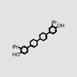 CC(C)c1cc(C2=CCC(C3CC=C(c4ccc(O)c(C(C)C)c4)CC3)CC2)ccc1O